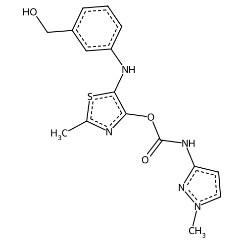 Cc1nc(OC(=O)Nc2ccn(C)n2)c(Nc2cccc(CO)c2)s1